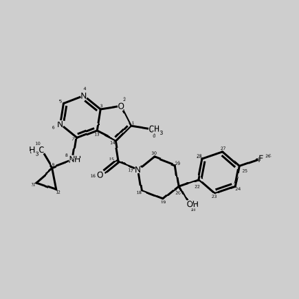 Cc1oc2ncnc(NC3(C)CC3)c2c1C(=O)N1CCC(O)(c2ccc(F)cc2)CC1